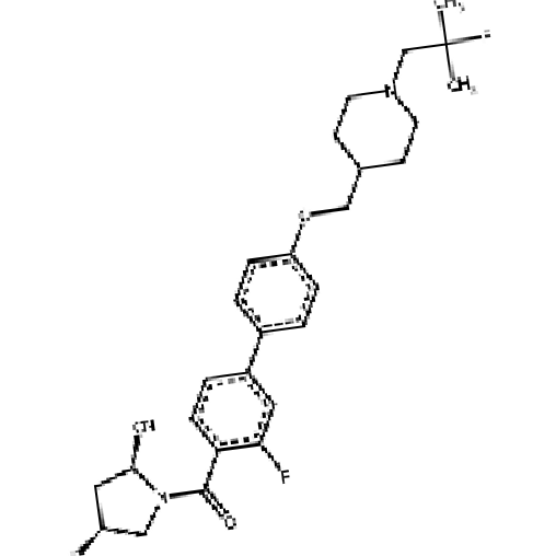 CC(C)(F)CN1CCC(COc2ccc(-c3ccc(C(=O)N4C[C@@H](F)C[C@H]4C#N)c(F)c3)cc2)CC1